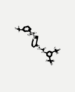 O=C(NOC1CCN(S(=O)(=O)c2cccc(C(F)(F)F)c2)C1)Nc1cc(C(F)(F)F)cc(C(F)(F)F)c1